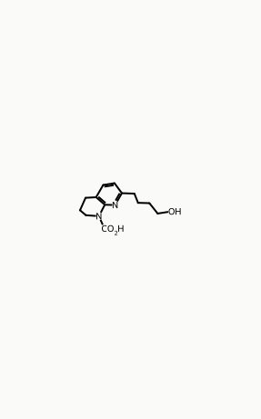 O=C(O)N1CCCc2ccc(CCCCO)nc21